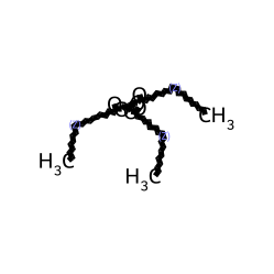 CCCCCCCC/C=C\CCCCCCCCCC(=O)OC[C@@H](COC(=O)CCCCCCC/C=C\CCCCCCCCC)OC(=O)CCCCCCC/C=C\CCCCCCCCC